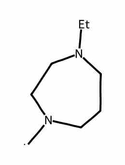 [CH2]N1CCCN(CC)CC1